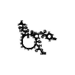 CC(C)(C)OC(=O)N[C@H]1CCCCC/C=C\C2CC2(C(=O)NS(=O)(=O)C2(C)CC2)NC(=O)[C@@H]2C[C@H](OS(=O)(=O)c3ccc(Br)cc3)CN2C1=O